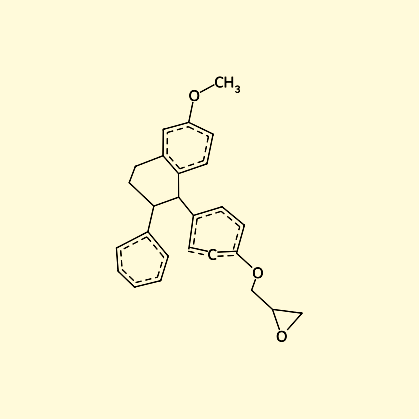 COc1ccc2c(c1)CCC(c1ccccc1)C2c1ccc(OCC2CO2)cc1